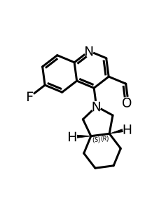 O=Cc1cnc2ccc(F)cc2c1N1C[C@H]2CCCC[C@H]2C1